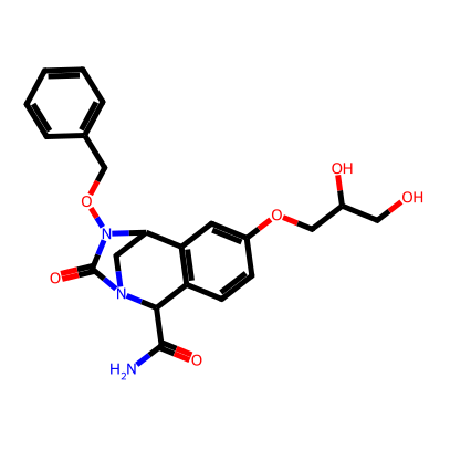 NC(=O)C1c2ccc(OCC(O)CO)cc2C2CN1C(=O)N2OCc1ccccc1